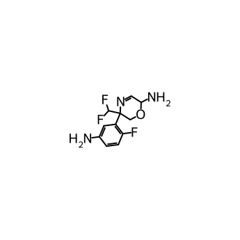 Nc1ccc(F)c(C2(C(F)F)COC(N)C=N2)c1